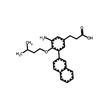 CC(C)CCOc1c(N)cc(CCC(=O)O)cc1-c1ccc2ccccc2c1